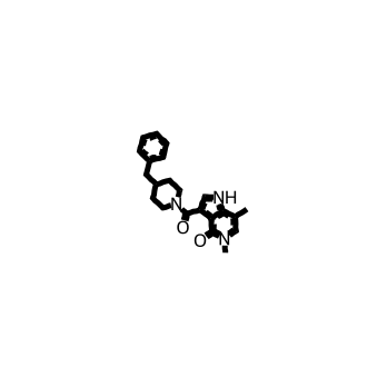 Cc1cn(C)c(=O)c2c(C(=O)N3CCC(Cc4ccccc4)CC3)c[nH]c12